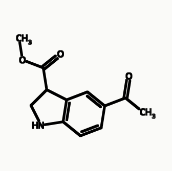 COC(=O)C1CNc2ccc(C(C)=O)cc21